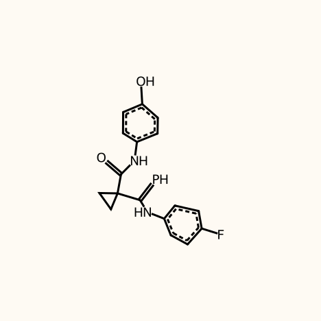 O=C(Nc1ccc(O)cc1)C1(C(=P)Nc2ccc(F)cc2)CC1